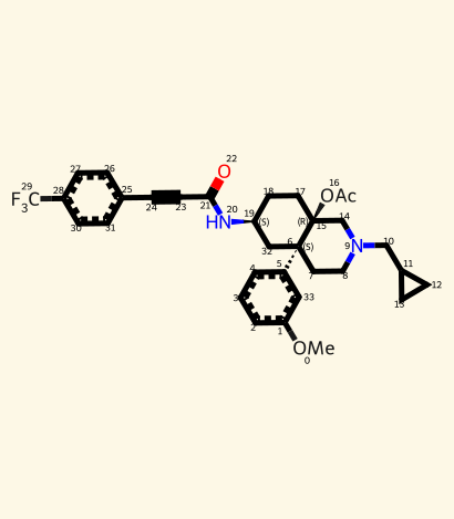 COc1cccc([C@@]23CCN(CC4CC4)C[C@@]2(OC(C)=O)CC[C@H](NC(=O)C#Cc2ccc(C(F)(F)F)cc2)C3)c1